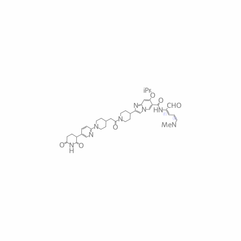 CN/C=C\C=C(/C=O)NC(=O)c1cn2cc(C3CCN(C(=O)CC4CCN(c5ccc(C6CCC(=O)NC6=O)cn5)CC4)CC3)nc2cc1OC(C)C